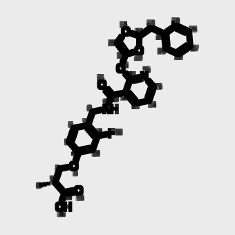 C[C@H](COc1ccc(CNC(=O)c2cccnc2OC2=COC(Cc3ccccc3)O2)c(F)c1)C(=O)O